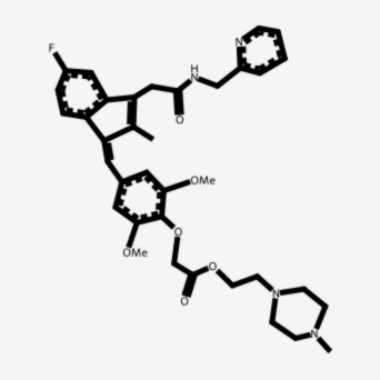 COc1cc(C=C2C(C)=C(CC(=O)NCc3ccccn3)c3cc(F)ccc32)cc(OC)c1OCC(=O)OCCN1CCN(C)CC1